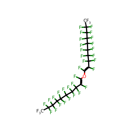 FC(OC(F)=C(F)C(F)(F)C(F)(F)C(F)(F)C(F)(F)C(F)(F)C(F)(F)C(F)(F)C(F)(F)F)=C(F)C(F)(F)C(F)(F)C(F)(F)C(F)(F)C(F)(F)C(F)(F)C(F)(F)C(F)(F)F